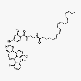 CC/C=C\C/C=C\C/C=C\C/C=C\C/C=C\CCCC(=O)NCCNC(=O)c1ccc(Nc2ncc3c(n2)-c2ccc(Cl)cc2C(c2c(F)cccc2OC)=NC3)cc1OC